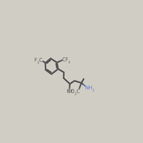 CCC(CCc1ccc(C(F)(F)F)cc1C(F)(F)F)CC(C)(N)C(=O)O